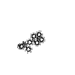 c1ccc(-n2c(-c3ccc(N4c5ccccc5C(c5ccccc5)(c5ccccc5)c5ccccc54)cc3)nc3cnccc32)cc1